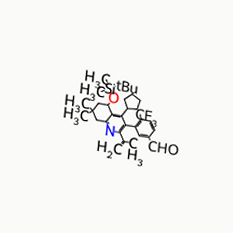 C=C(C)c1nc2c(c(C3CCCC3)c1-c1cc(C=O)ccc1C(F)(F)F)C(O[Si](C)(C)C(C)(C)C)CC(C)(C)C2